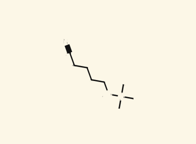 C[Si](C)(C)OCCCCC#N